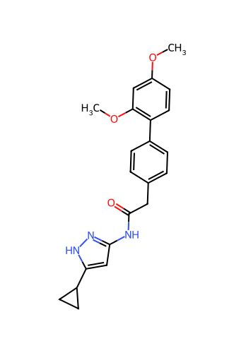 COc1ccc(-c2ccc(CC(=O)Nc3cc(C4CC4)[nH]n3)cc2)c(OC)c1